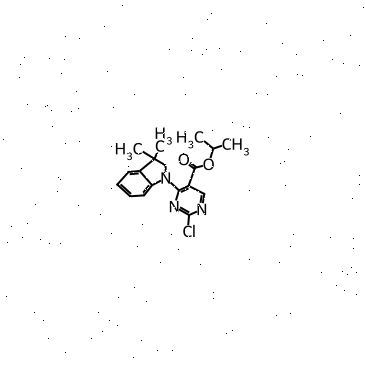 CC(C)OC(=O)c1cnc(Cl)nc1N1CC(C)(C)c2ccccc21